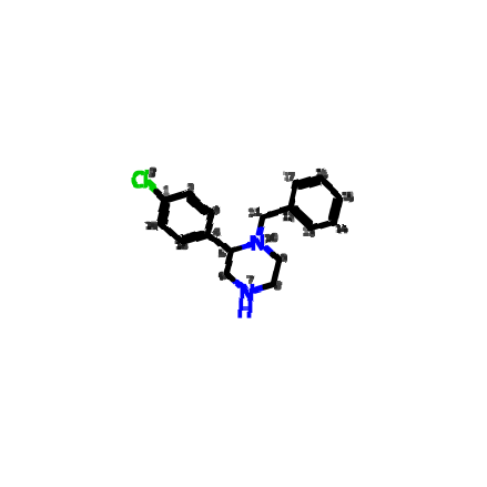 Clc1ccc(C2CNCCN2Cc2ccccc2)cc1